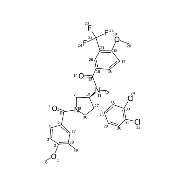 COc1ccc(C(=O)N2C[C@@H](N(C)C(=O)c3ccc(OC)c(C(F)(F)F)c3)[C@H](c3ccc(Cl)c(Cl)c3)C2)cc1C